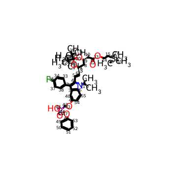 CC(C)n1c(/C=C/[C@@H]2C[C@H](CC(=O)OCC[Si](C)(C)C)OC(C(C)(C)C)(C(C)(C)C)O2)c(-c2ccc(F)cc2)c2cc(OCP(=O)(O)Oc3ccccc3)ccc21